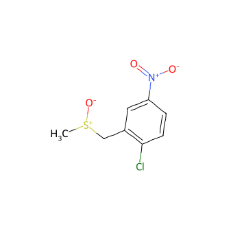 C[S+]([O-])Cc1cc([N+](=O)[O-])ccc1Cl